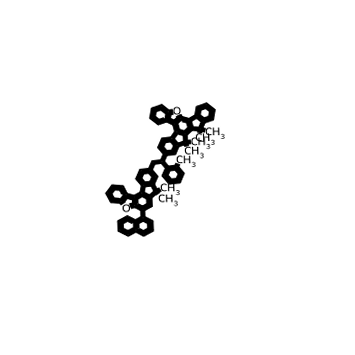 Cc1ccccc1C(Cc1ccc2c(c1)C(C)(C)c1cc(-c3cccc4ccccc34)c3oc4ccccc4c3c1-2)c1ccc2c(c1)C(C)(C)c1c3c(c4oc5ccccc5c4c1-2)-c1ccccc1C3(C)C